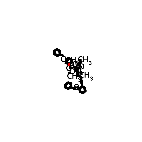 CCOP(=O)(OCC)C(CCCCC#Cc1ccccc1OCc1ccccc1)(Oc1ccc(OCc2ccccc2)cc1)P(=O)(OCC)OCC